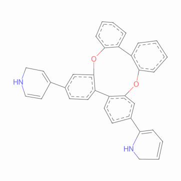 C1=CCNC(c2ccc3c(c2)Oc2ccccc2-c2ccccc2Oc2cc(C4=CCNC=C4)ccc2-3)=C1